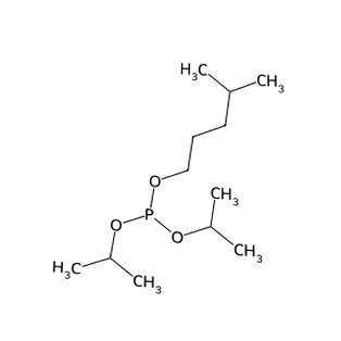 CC(C)CCCOP(OC(C)C)OC(C)C